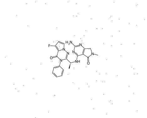 C[C@H](Nc1nc(N)nc2c1C(=O)N(C)C2)c1nn2ccc(F)c2c(=O)n1-c1ccccc1